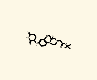 CC(C)(C)OC(=O)CN1CCN2c3ccc(NC4CCC(=O)NC4=O)cc3OC[C@@H]2C1